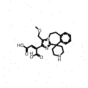 COCc1c(/C(=C/C(=O)O)C(=O)O)nc2n1CCc1ccccc1C21CCNCC1